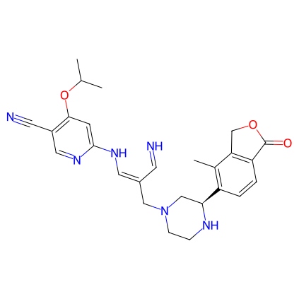 Cc1c([C@@H]2CN(C/C(C=N)=C/Nc3cc(OC(C)C)c(C#N)cn3)CCN2)ccc2c1COC2=O